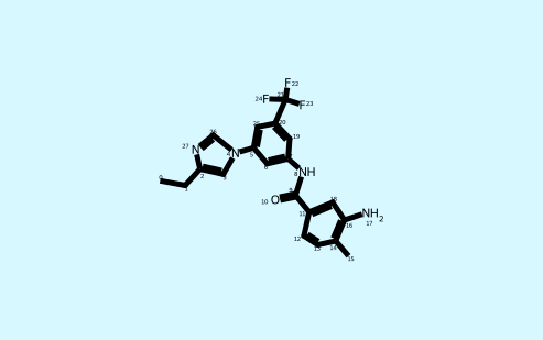 CCc1cn(-c2cc(NC(=O)c3ccc(C)c(N)c3)cc(C(F)(F)F)c2)cn1